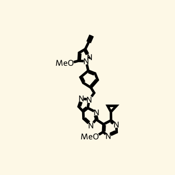 C#Cc1cc(OC)n(-c2ccc(Cn3ncc4cnc(-c5c(OC)ncnc5C5CC5)nc43)cc2)n1